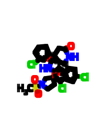 CS(=O)(=O)N1CCC(Oc2ccc(Cl)cc2[C@H]2NC(=O)C[C@@H](c3cccc(Cl)c3)[C@]23C(=O)Nc2cc(Cl)ccc23)C1